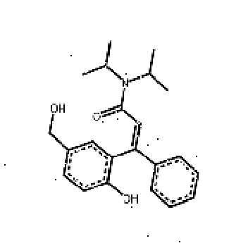 CC(C)N(C(=O)C=C(c1ccccc1)c1cc(CO)ccc1O)C(C)C